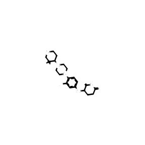 Cl.O=C1CCC(Nc2ccc(N3CCN(C4CCNCC4(F)F)CC3)c(F)c2)C(=O)N1